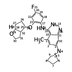 Cc1cc(N=S2CCCC2)cc2ncnc(Nc3ccc(F)cc3O[C@@H]3CC[C@@H]4OCCC43)c12